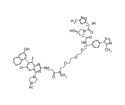 CC(=O)N1CCN(c2nc(NCCC(=O)N(C)CCOCCOCCOC[C@H](NC(=O)[C@@H]3C[C@@H](O)CN3C(=O)[C@H](c3cc(C)no3)C(C)C)c3ccc(-c4scnc4C)cc3)nc3c(F)c(-c4cc(O)cc5ccccc45)c(Cl)cc23)CC1